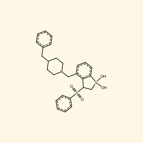 O=S(=O)(c1ccccc1)C1CS(O)(O)c2cccc(CN3CCC(Cc4ccccc4)CC3)c21